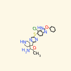 CC1OC(c2cnc(Sc3ccc4nc(Oc5ccccc5)[nH]c4c3Cl)cn2)C2(CCNCC2)C1N